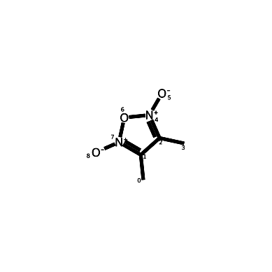 Cc1c(C)[n+]([O-])o[n+]1[O-]